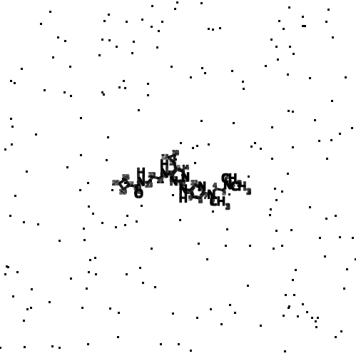 CN(C)CCN(C)c1ccc(Nc2ncc(C3CC3)c(NCCCNC(=O)C3CCC3)n2)cn1